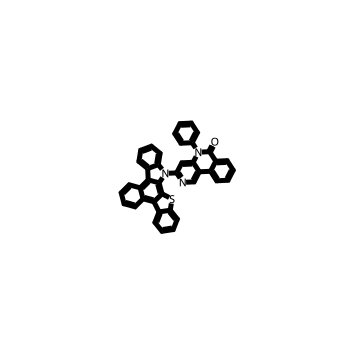 O=c1c2ccccc2c2cnc(-n3c4ccccc4c4c5ccccc5c5c6ccccc6sc5c43)cc2n1-c1ccccc1